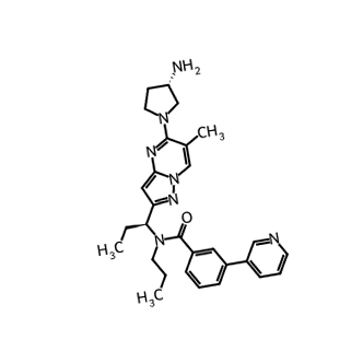 CCCN(C(=O)c1cccc(-c2cccnc2)c1)[C@@H](CC)c1cc2nc(N3CC[C@H](N)C3)c(C)cn2n1